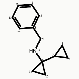 c1ccc(CNC2(C3CC3)CC2)cc1